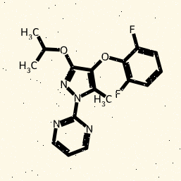 Cc1c(Oc2c(F)cccc2F)c(OC(C)C)nn1-c1ncccn1